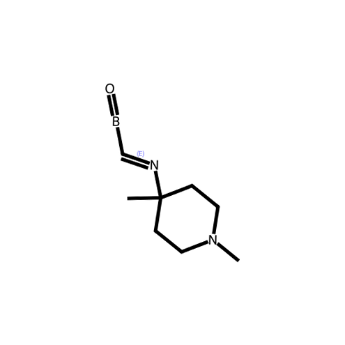 CN1CCC(C)(/N=C/B=O)CC1